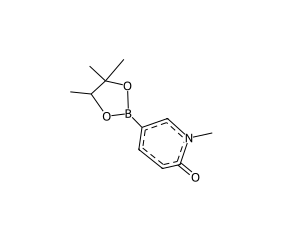 CC1OB(c2ccc(=O)n(C)c2)OC1(C)C